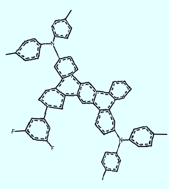 Cc1ccc(N(c2ccc(C)cc2)c2ccc3c(c2)c2ccccc2c2cc4c5ccc(N(c6ccc(C)cc6)c6ccc(C)cc6)cc5c5ccc(-c6cc(F)cc(F)c6)cc5c4cc32)cc1